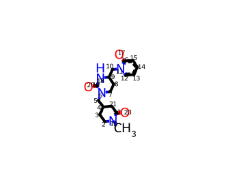 CN1CCC(CN2CCC(Cn3ccccc3=O)NC2=O)CC1=O